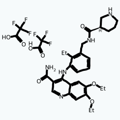 CCOc1cc2ncc(C(N)=O)c(Nc3cccc(CNC(=O)[C@@H]4CCCNC4)c3CC)c2cc1OCC.O=C(O)C(F)(F)F.O=C(O)C(F)(F)F